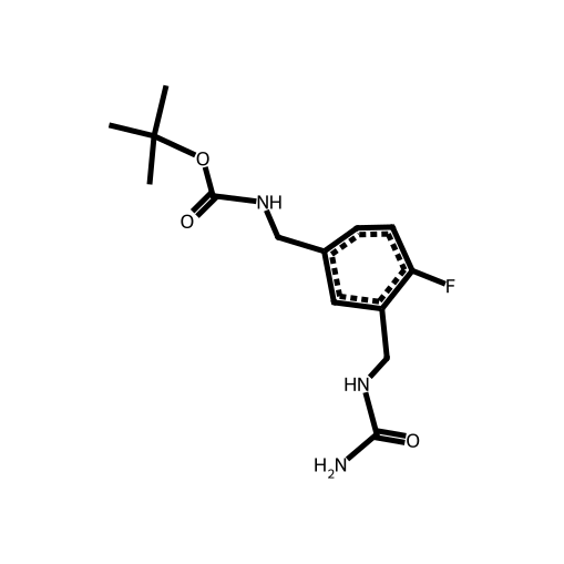 CC(C)(C)OC(=O)NCc1ccc(F)c(CNC(N)=O)c1